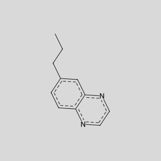 CCCc1ccc2nccnc2c1